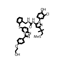 CSCC(C)(C)c1cc(NC(=O)NCc2ccccc2Sc2ccc3nnc(-c4ccc(OCCO)cc4)n3c2)n(-c2ccc(O)c(Cl)c2)n1